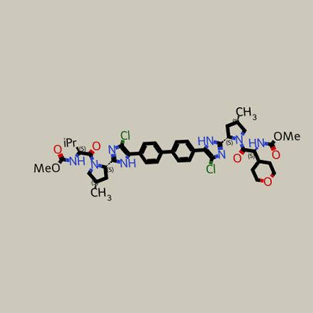 COC(=O)N[C@H](C(=O)N1C[C@@H](C)C[C@H]1c1nc(Cl)c(-c2ccc(-c3ccc(-c4[nH]c([C@@H]5C[C@H](C)CN5C(=O)[C@@H](NC(=O)OC)C5CCOCC5)nc4Cl)cc3)cc2)[nH]1)C(C)C